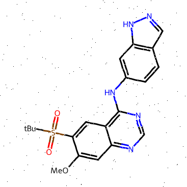 COc1cc2ncnc(Nc3ccc4cn[nH]c4c3)c2cc1S(=O)(=O)C(C)(C)C